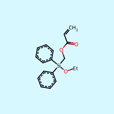 C=CC(=O)OC[Si](OCC)(c1ccccc1)c1ccccc1